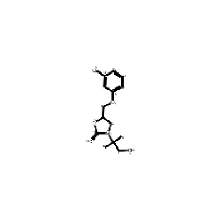 CC(C)(CO)N1CC(COc2cccc(Cl)c2)OC1=O